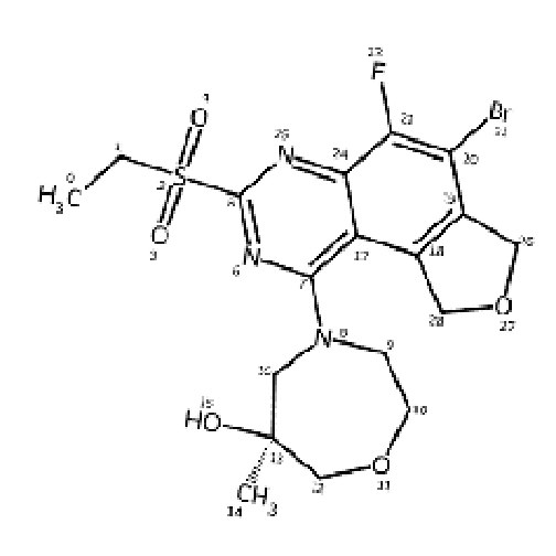 CCS(=O)(=O)c1nc(N2CCOC[C@@](C)(O)C2)c2c3c(c(Br)c(F)c2n1)COC3